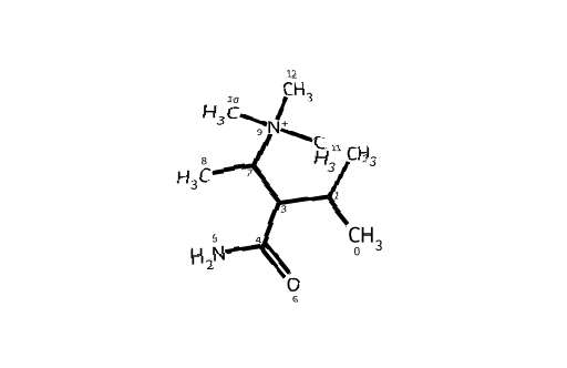 CC(C)C(C(N)=O)C(C)[N+](C)(C)C